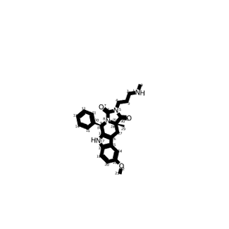 CNCCCN1C(=O)N2[C@H](c3ccccc3)c3[nH]c4ccc(OC)cc4c3C[C@@]2(C)C1=O